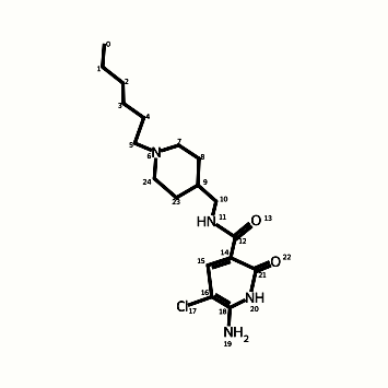 CCCCCCN1CCC(CNC(=O)c2cc(Cl)c(N)[nH]c2=O)CC1